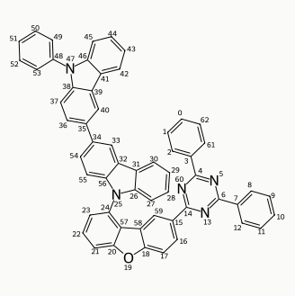 c1ccc(-c2nc(-c3ccccc3)nc(-c3ccc4oc5cccc(-n6c7ccccc7c7cc(-c8ccc9c(c8)c8ccccc8n9-c8ccccc8)ccc76)c5c4c3)n2)cc1